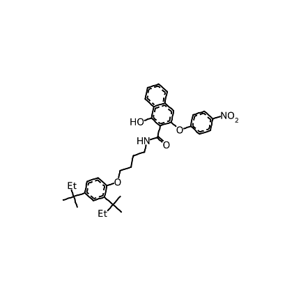 CCC(C)(C)c1ccc(OCCCCNC(=O)c2c(Oc3ccc([N+](=O)[O-])cc3)cc3ccccc3c2O)c(C(C)(C)CC)c1